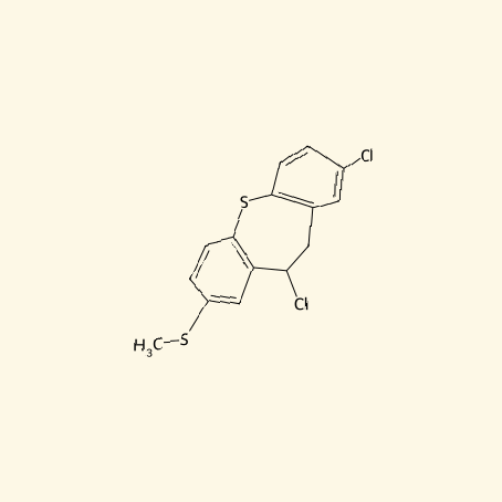 CSc1ccc2c(c1)C(Cl)Cc1cc(Cl)ccc1S2